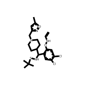 C=CNOc1cc(Cl)c(Cl)cc1C(NSC(C)(C)C)C1CCN(Cc2cc(C)on2)CC1